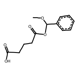 COC(OC(=O)CCCC(=O)O)c1ccccc1